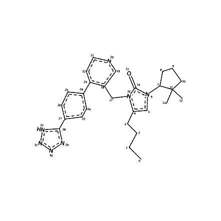 CCCCc1cn(C2CCCC2(C)C)c(=O)n1Cc1cnccc1-c1ccc(-c2nnn[nH]2)cc1